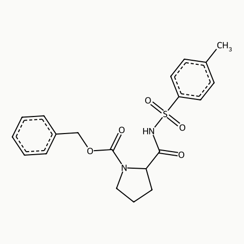 Cc1ccc(S(=O)(=O)NC(=O)C2CCCN2C(=O)OCc2ccccc2)cc1